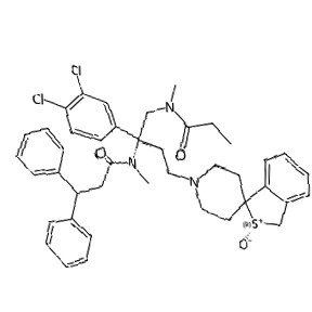 CCC(=O)N(C)CC(CCN1CCC2(CC1)c1ccccc1C[S@+]2[O-])(c1ccc(Cl)c(Cl)c1)N(C)C(=O)CC(c1ccccc1)c1ccccc1